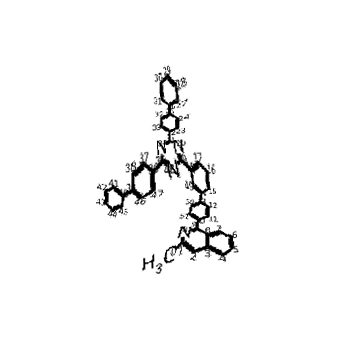 Cc1cc2ccccc2c(-c2ccc(-c3cccc(-c4nc(-c5ccc(-c6ccccc6)cc5)nc(-c5ccc(-c6ccccc6)cc5)n4)c3)cc2)n1